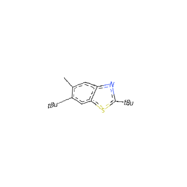 Cc1cc2nc(C(C)(C)C)sc2cc1C(C)(C)C